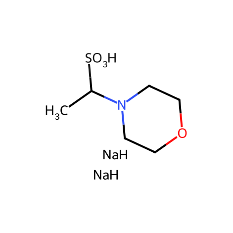 CC(N1CCOCC1)S(=O)(=O)O.[NaH].[NaH]